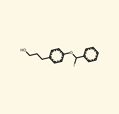 OCCCc1ccc(OC(I)c2ccccc2)cc1